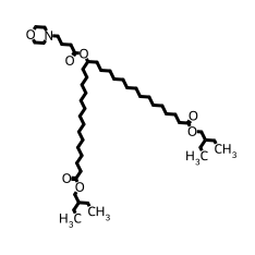 CCC(CC)COC(=O)CCCCCCCCCCCCCCC(CCCCCCCCCCCCCCC(=O)OCC(CC)CC)OC(=O)CCCN1CCOCC1